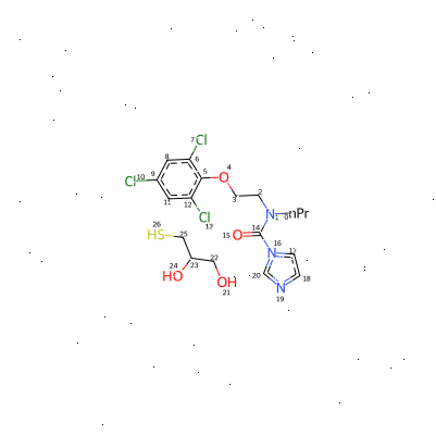 CCCN(CCOc1c(Cl)cc(Cl)cc1Cl)C(=O)n1ccnc1.OCC(O)CS